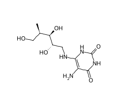 C[C@H](CO)[C@@H](O)[C@@H](O)CNc1[nH]c(=O)[nH]c(=O)c1N